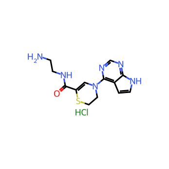 Cl.NCCNC(=O)C1=CN(c2ncnc3[nH]ccc23)CCS1